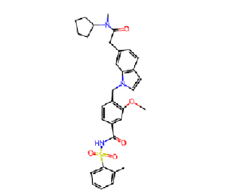 COc1cc(C(=O)NS(=O)(=O)c2ccccc2C)ccc1Cn1ccc2ccc(CC(=O)N(C)C3CCCC3)cc21